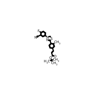 Cc1cc(C=CC(=O)OC(C)(C)C)ccc1C1=NN(c2ccc(F)c(C#N)c2)CS1